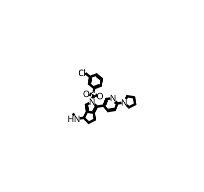 CNC1CCc2c1cn(S(=O)(=O)c1cccc(Cl)c1)c2-c1ccc(N2CCCC2)nc1